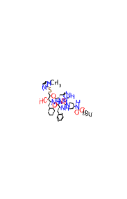 Cn1ccnc1SCC[C@H](O)[C@H](CC1CCCCC1)NC(=O)[C@H](Cc1c[nH]cn1)NC(=O)[C@H](Cc1ccccc1)NC(=O)N1CCC(NC(=O)OC(C)(C)C)CC1